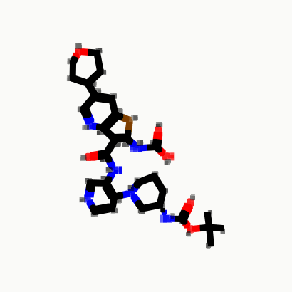 CC(C)(C)OC(=O)N[C@H]1CCCN(c2ccncc2NC(=O)c2c(NC(=O)O)sc3cc(C4CCOCC4)cnc23)C1